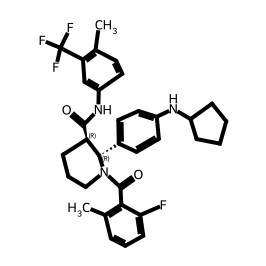 Cc1ccc(NC(=O)[C@@H]2CCCN(C(=O)c3c(C)cccc3F)[C@H]2c2ccc(NC3CCCC3)cc2)cc1C(F)(F)F